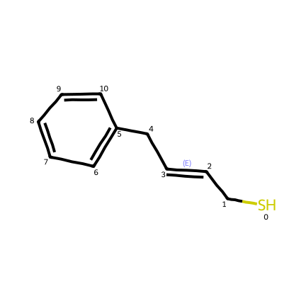 SC/C=C/Cc1ccccc1